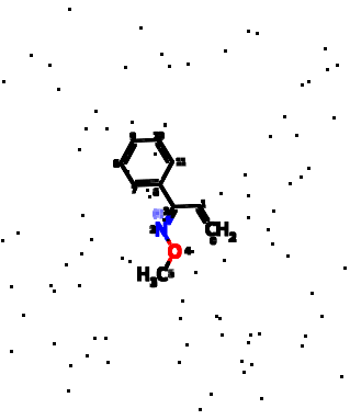 C=C/C(=N\OC)c1ccccc1